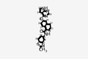 Cc1nc2cc(NC(=O)c3cccc4cc(Oc5ncnc6[nH]ccc56)ccc34)ccc2s1